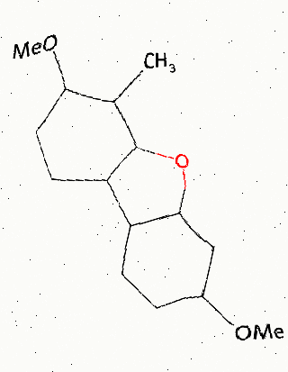 COC1CCC2C(C1)OC1C(C)C(OC)CCC21